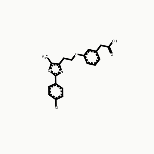 Cc1oc(-c2ccc(Cl)cc2)nc1CCOc1cccc(CC(=O)O)c1